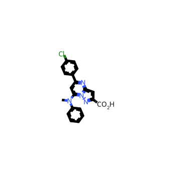 CN(c1ccccc1)c1cc(-c2ccc(Cl)cc2)nc2cc(C(=O)O)nn12